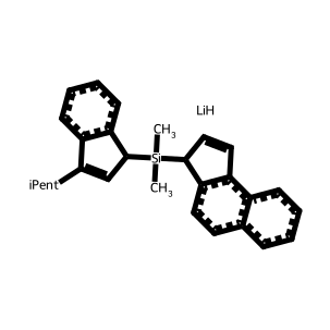 CCCC(C)C1=CC([Si](C)(C)C2C=Cc3c2ccc2ccccc32)c2ccccc21.[LiH]